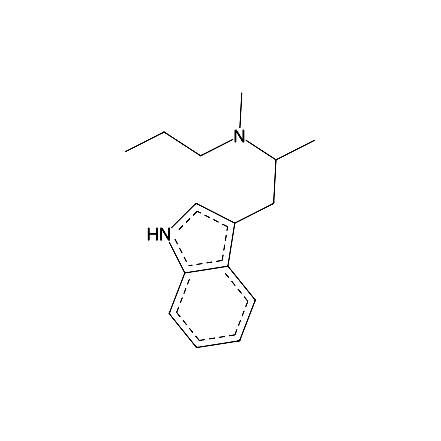 CCCN(C)C(C)Cc1c[nH]c2ccccc12